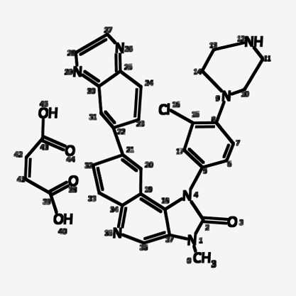 Cn1c(=O)n(-c2ccc(N3CCNCC3)c(Cl)c2)c2c3cc(-c4ccc5nccnc5c4)ccc3ncc21.O=C(O)/C=C\C(=O)O